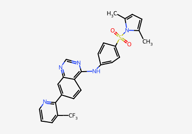 Cc1ccc(C)n1S(=O)(=O)c1ccc(Nc2ncnc3cc(-c4ncccc4C(F)(F)F)ccc23)cc1